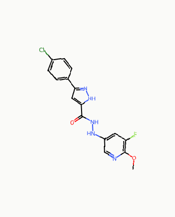 COc1ncc(NNC(=O)c2cc(-c3ccc(Cl)cc3)n[nH]2)cc1F